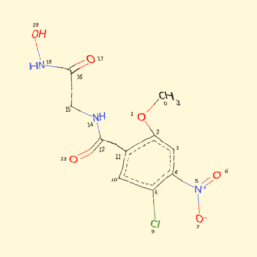 COc1cc([N+](=O)[O-])c(Cl)cc1C(=O)NCC(=O)NO